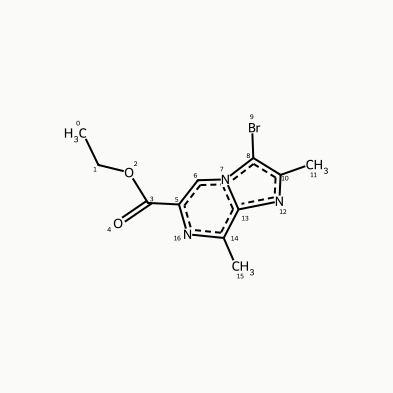 CCOC(=O)c1cn2c(Br)c(C)nc2c(C)n1